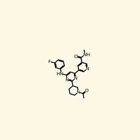 CNC(=O)c1cncc(-c2cc(Nc3cccc(F)c3)nc(C3CCCN(C(C)=O)C3)n2)c1